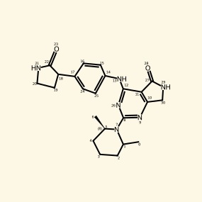 CC1CCC[C@@H](C)N1c1nc2c(c(Nc3ccc(C4CCNC4=O)cc3)n1)C(=O)NC2